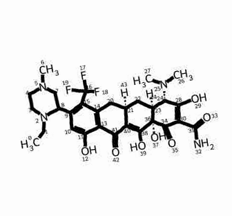 CCN1CCN(C)CC1c1cc(O)c2c(c1C(F)(F)F)C[C@H]1C[C@H]3[C@H](N(C)C)C(O)=C(C(N)=O)C(=O)[C@@]3(O)C(O)=C1C2=O